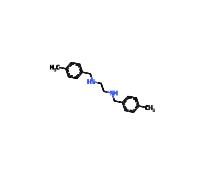 Cc1ccc(CNCCNCc2ccc(C)cc2)cc1